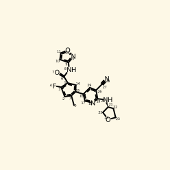 Cc1cc(F)c(C(=O)Nc2ccon2)cc1-c1cnc(N[C@H]2CCOC2)c(C#N)c1